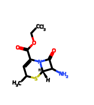 CC1C=C(C(=O)OCC(Cl)(Cl)Cl)N2C(=O)C(N)[C@@H]2S1